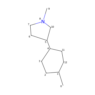 CC1CCC(C2CCN(C)C2)CC1